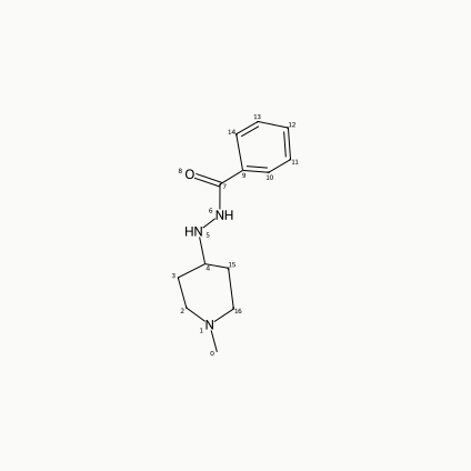 CN1CCC(NNC(=O)c2ccccc2)CC1